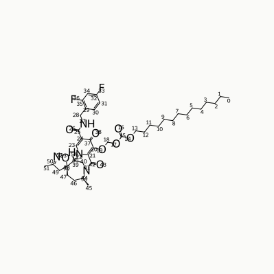 CCCCCCCCCCCCCCOC(=O)OCOc1c2n(cc(C(=O)NCc3ccc(F)cc3F)c1=O)[C@@H]1CN(C2=O)[C@@H](C)CC[C@]12CC(C)=NO2